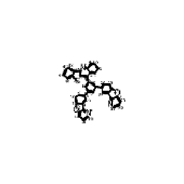 c1ccc2c(-c3cc(-c4ccc5oc6cccnc6c5c4)cc(-c4ccc5oc6cccnc6c5c4)c3)c3sc4ccccc4c3nc2c1